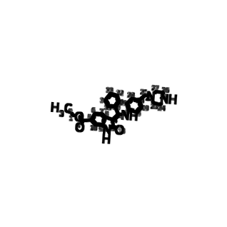 CCOC(=O)c1ccc2c(c1)NC(=O)/C2=C(\Nc1ccc(CN2CCNCC2)cc1)c1ccccc1